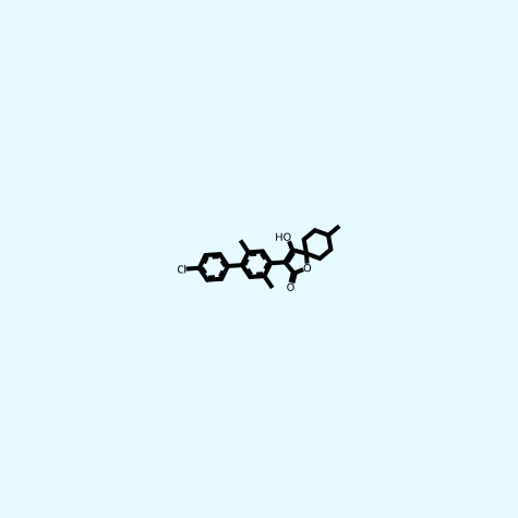 Cc1cc(-c2ccc(Cl)cc2)c(C)cc1C1=C(O)C2(CCC(C)CC2)OC1=O